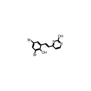 Oc1nccc(/C=C/c2cc(Br)cc(Br)c2O)n1